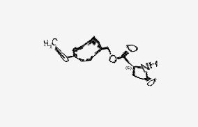 COc1ccc(COC(=O)[C@@H]2CC(=O)N2)cc1